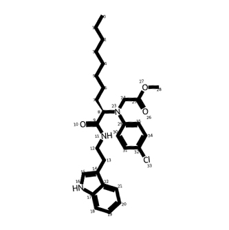 CCCCCCCC[C@H](C(=O)NCCc1c[nH]c2ccccc12)N(CC(=O)OC)c1ccc(Cl)cc1